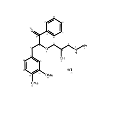 CCCNCC(O)COC(Cc1ccc(OC)c(OC)c1)C(=O)c1ccccc1.Cl